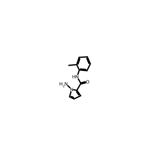 Cc1ccccc1NC(=O)c1cccn1N